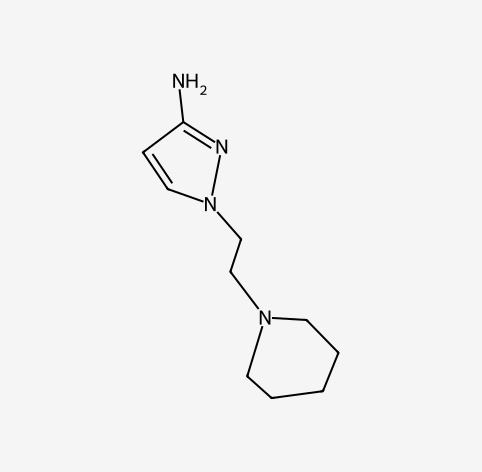 Nc1ccn(CCN2CCCCC2)n1